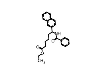 CCOC(=O)CCCCC(NC(=O)c1ccccc1)c1ccc2ccccc2c1